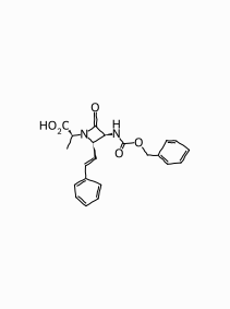 C[C@@H](C(=O)O)N1C(=O)[C@@H](NC(=O)OCc2ccccc2)[C@H]1C=Cc1ccccc1